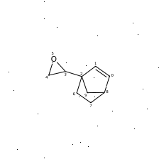 C1=CC2(C3CO3)CCC1C2